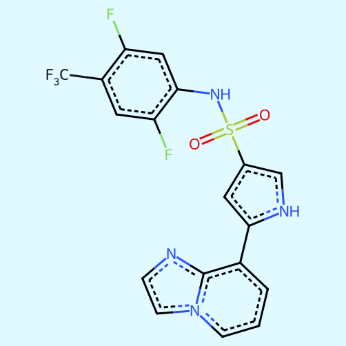 O=S(=O)(Nc1cc(F)c(C(F)(F)F)cc1F)c1c[nH]c(-c2cccn3ccnc23)c1